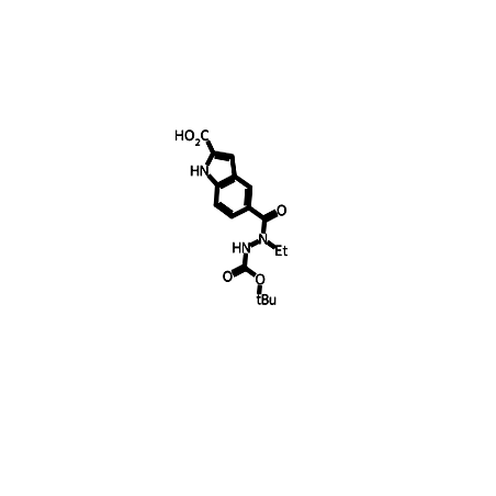 CCN(NC(=O)OC(C)(C)C)C(=O)c1ccc2[nH]c(C(=O)O)cc2c1